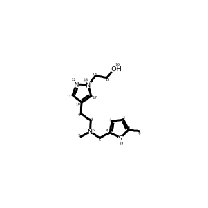 Cc1ccc(CN(C)CCc2cnn(CCO)c2)s1